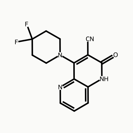 N#Cc1c(N2CCC(F)(F)CC2)c2ncccc2[nH]c1=O